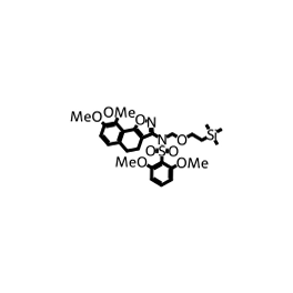 COc1ccc2c(c1OC)-c1onc(N(COCC[Si](C)(C)C)S(=O)(=O)c3c(OC)cccc3OC)c1CC2